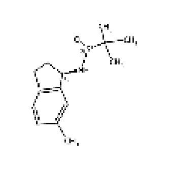 Cc1ccc2c(c1)[C@H](N[S@+]([O-])C(C)(C)C)CC2